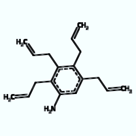 C=CCc1cc(N)c(CC=C)c(CC=C)c1CC=C